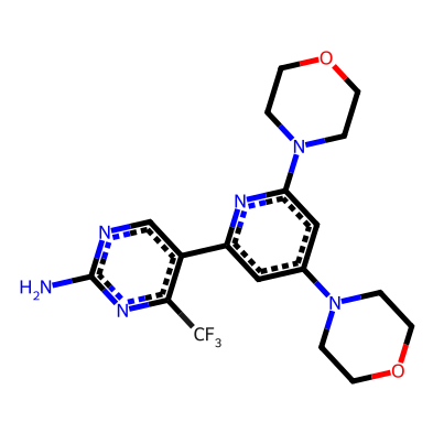 Nc1ncc(-c2cc(N3CCOCC3)cc(N3CCOCC3)n2)c(C(F)(F)F)n1